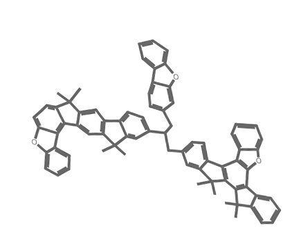 CC1(C)c2cc(C(Cc3ccc4c(c3)C(C)(C)c3c5c(c6oc7ccccc7c6c3-4)-c3ccccc3C5(C)C)Cc3ccc4c(c3)oc3ccccc34)ccc2-c2cc3c(cc21)-c1c(ccc2oc4ccccc4c12)C3(C)C